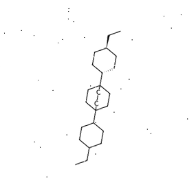 CCC1CCC(C23CCC([C@H]4CC[C@H](CC)CC4)(CC2)CC3)CC1